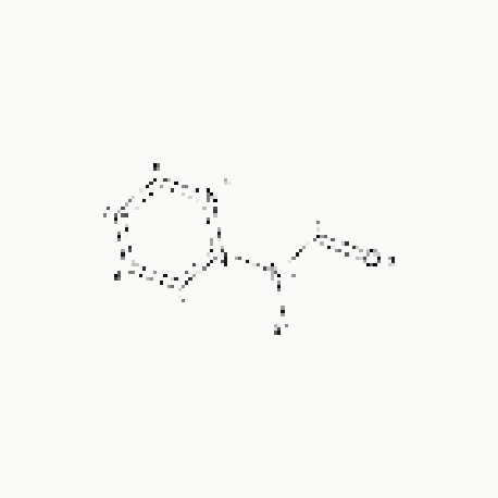 CN(C=O)c1cc[c]cn1